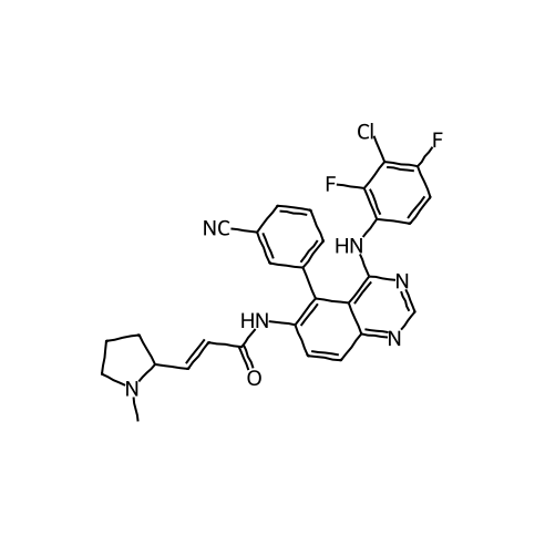 CN1CCCC1C=CC(=O)Nc1ccc2ncnc(Nc3ccc(F)c(Cl)c3F)c2c1-c1cccc(C#N)c1